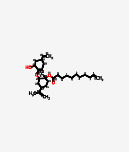 C=CCCCCCCCCC(=O)OC1(C)CCC(C(=C)C)CC1OC1CCC(C=C)CC1O